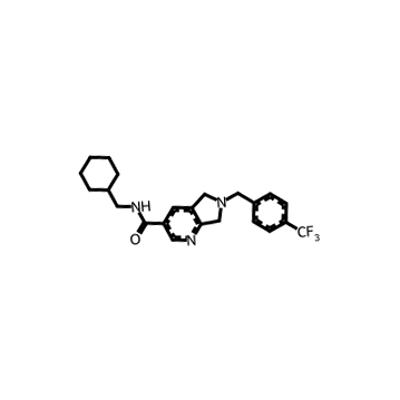 O=C(NCC1CCCCC1)c1cnc2c(c1)CN(Cc1ccc(C(F)(F)F)cc1)C2